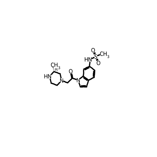 C[C@@H]1CN(CC(=O)n2ccc3ccc(NS(C)(=O)=O)cc32)CCN1